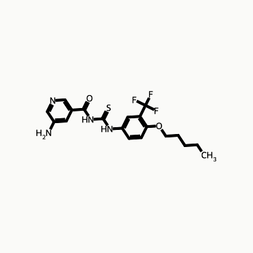 CCCCCOc1ccc(NC(=S)NC(=O)c2cncc(N)c2)cc1C(F)(F)F